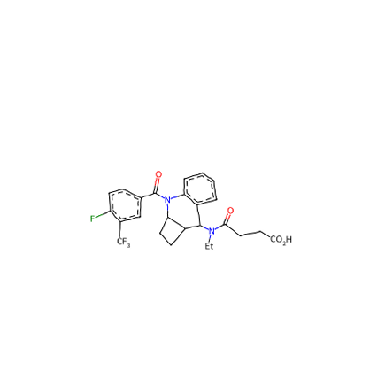 CCN(C(=O)CCC(=O)O)C1c2ccccc2N(C(=O)c2ccc(F)c(C(F)(F)F)c2)C2CCC12